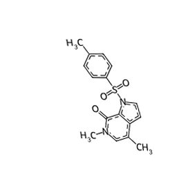 Cc1ccc(S(=O)(=O)n2ccc3c(C)cn(C)c(=O)c32)cc1